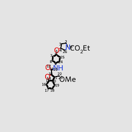 CCOC(=O)N1CCC(Oc2ccc(NC(=O)c3oc4ccccc4c3COC)cc2)C1